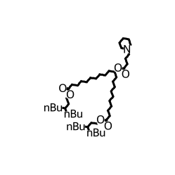 CCCCC(CCCC)CCOC(=O)CCCCCCCCCC(CCCCCCCCCC(=O)OCCC(CCCC)CCCC)OC(=O)CCCN1CCCCC1